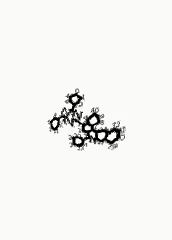 c1ccc(-c2nc(-c3ccccc3)nc(-c3cc4c(-c5ccccc5)nc5cc6ccccc6cc5c4c4ccccc34)n2)cc1